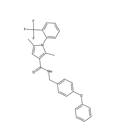 Cc1cc(C(=O)NCc2ccc(Oc3ccccc3)cc2)c(C)n1-c1ccccc1C(F)(F)F